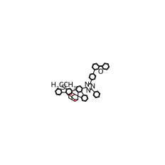 C[Si]1(C)c2ccccc2-c2ccc(-c3ccc(-c4nc(-c5ccccc5)nc(-c5ccc(-c6cccc7c6oc6ccccc67)cc5)n4)c4c3C3(c5ccccc5-4)C4CC5CC(C4)CC3C5)cc21